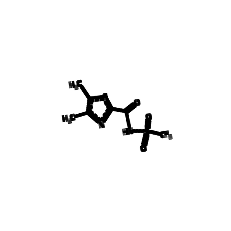 Cc1nc(C(=O)NS(=O)(=O)C(F)(F)F)sc1C